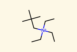 CC[N+](CC)(CC)CC(C)(C)C